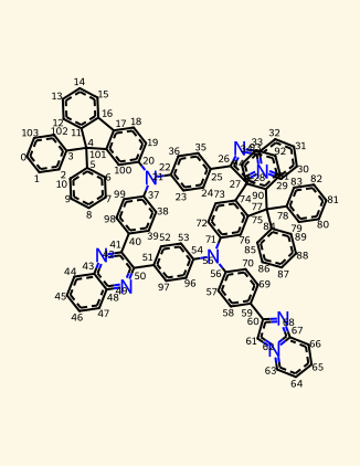 c1ccc(C2(c3ccccc3)c3ccccc3-c3ccc(N(c4ccc(-c5cn6ccccc6n5)cc4)c4ccc(-c5nc6ccccc6nc5-c5ccc(N(c6ccc(-c7cn8ccccc8n7)cc6)c6ccc7c(c6)C(c6ccccc6)(c6ccccc6)c6ccccc6-7)cc5)cc4)cc32)cc1